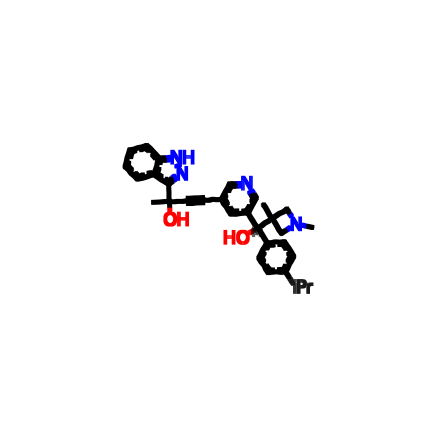 CC(C)c1ccc([C@](O)(c2cncc(C#CC(C)(O)c3n[nH]c4ccccc34)c2)C2(C)CN(C)C2)cc1